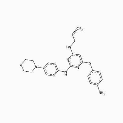 C=CCNc1cc(Sc2ccc(N)cc2)nc(Nc2ccc(N3CCOCC3)cc2)n1